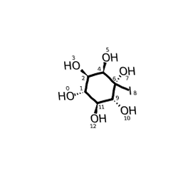 O[C@@H]1[C@@H](O)[C@@H](O)[C@@](O)(I)[C@H](O)[C@H]1O